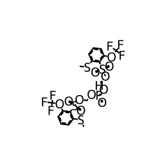 CSc1cccc(OC(F)(F)F)c1S(=O)(=O)OCO[PH](=O)OCOS(=O)(=O)c1c(OC(F)(F)F)cccc1SC